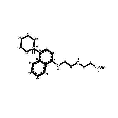 COCCOCCOc1ccc([SH]2CCCCC2)c2ccccc12